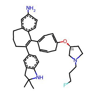 CC1(C)Cc2cc(C3=C(C4=CC=C(O[C@H]5CCN(CCCF)C5)CC=C4)c4ccc(N)cc4CCC3)ccc2N1